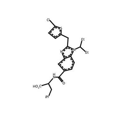 CCC(CC)n1c(Cc2ccc(Cl)s2)nc2cc(C(=O)NC(CC(C)C)C(=O)O)ccc21